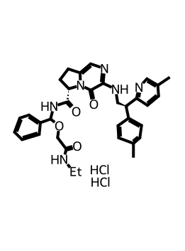 CCNC(=O)COC(NC(=O)[C@@H]1CCc2cnc(NC[C@H](c3ccc(C)cc3)c3ccc(C)cn3)c(=O)n21)c1ccccc1.Cl.Cl